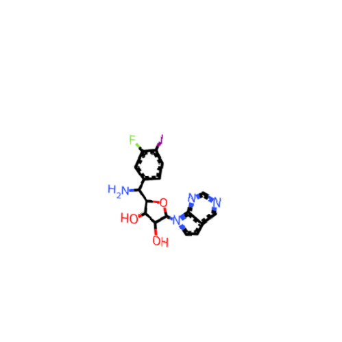 NC(c1ccc(I)c(F)c1)C1OC(n2ccc3cncnc32)C(O)C1O